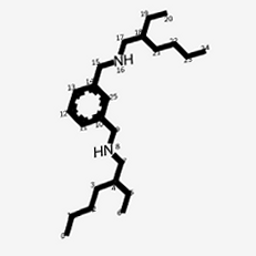 CCCCC(CC)CNCc1cccc(CNCC(CC)CCCC)c1